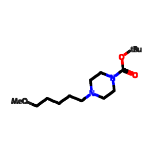 COCCCCCN1CCN(C(=O)OC(C)(C)C)CC1